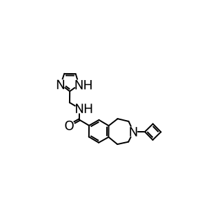 O=C(NCc1ncc[nH]1)c1ccc2c(c1)CCN(C1=CC=C1)CC2